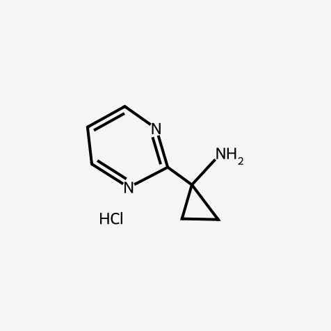 Cl.NC1(c2ncccn2)CC1